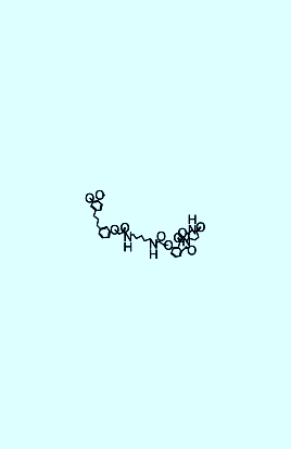 COc1ccc(CCCc2cccc(OCC(=O)NCCCCCNC(=O)COc3cccc4c3C(=O)N(C3CCC(=O)NC3=O)C4=O)c2)cc1OC